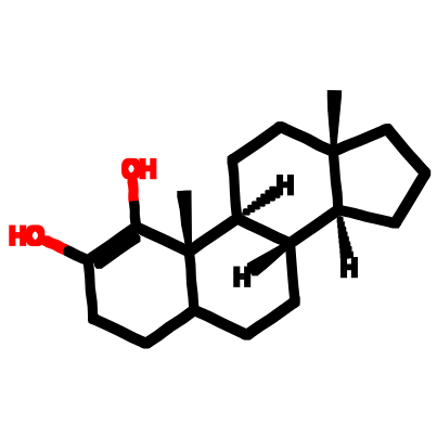 C[C@@]12CCC[C@H]1[C@@H]1CCC3CCC(O)=C(O)[C@]3(C)[C@H]1CC2